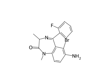 CC1N=C(c2ccccc2F)c2c(ccc(N)c2Br)N(C)C1=O